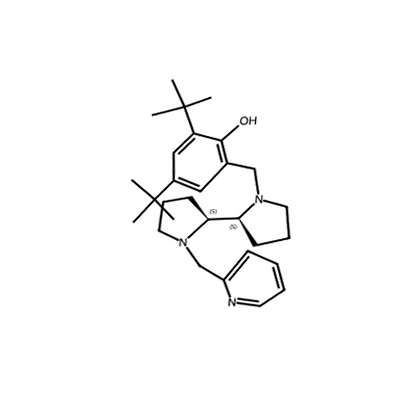 CC(C)(C)c1cc(CN2CCC[C@H]2[C@@H]2CCCN2Cc2ccccn2)c(O)c(C(C)(C)C)c1